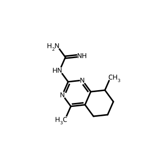 Cc1nc(NC(=N)N)nc2c1CCCC2C